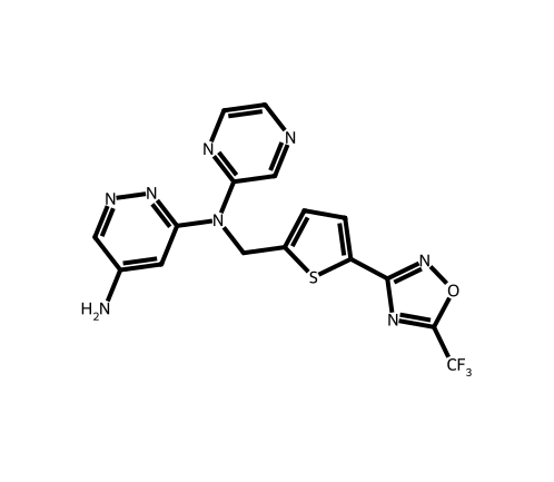 Nc1cnnc(N(Cc2ccc(-c3noc(C(F)(F)F)n3)s2)c2cnccn2)c1